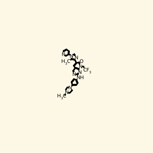 Cc1c(-c2cc3cnc(Nc4ccc(N5CCN(C)CC5)cc4)nc3n(CC(F)(F)F)c2=O)ncn1-c1cccnc1